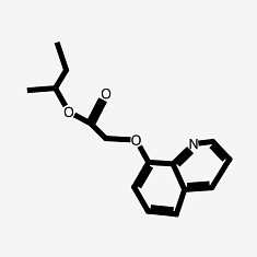 CCC(C)OC(=O)COc1cccc2cccnc12